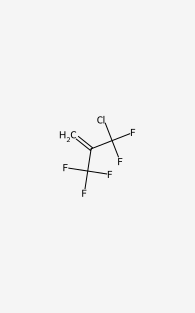 C=C(C(F)(F)F)C(F)(F)Cl